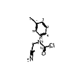 Cc1cccc(N(CC#N)C(=O)Cl)c1